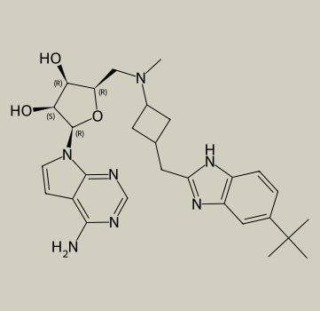 CN(C[C@H]1O[C@@H](n2ccc3c(N)ncnc32)[C@@H](O)[C@H]1O)C1CC(Cc2nc3cc(C(C)(C)C)ccc3[nH]2)C1